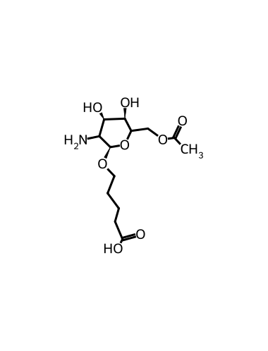 CC(=O)OCC1O[C@@H](OCCCCC(=O)O)C(N)[C@@H](O)[C@H]1O